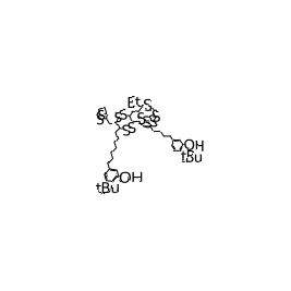 CCC1SCSSSSC1CC1SSC(CC2SCC3CC2S3)C(CCCCCCCc2ccc(C(C)(C)C)c(O)c2)SSC1CCCCCCCc1ccc(C(C)(C)C)c(O)c1